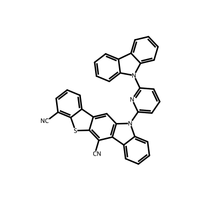 N#Cc1cccc2c1sc1c(C#N)c3c4ccccc4n(-c4cccc(-n5c6ccccc6c6ccccc65)n4)c3cc12